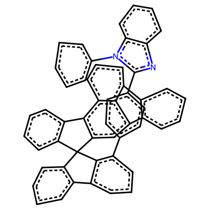 c1ccc(-n2c(-c3ccc(-c4cccc5c4C4(c6ccccc6-5)c5ccccc5-c5c4cc4c6c(cccc56)-c5ccccc5-4)cc3)nc3ccccc32)cc1